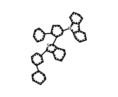 c1ccc(-c2cccc(-c3sc(-c4cc(-n5c6ccccc6c6ccccc65)ccc4-c4ccccc4)c4ccccc34)c2)cc1